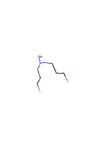 CC(C)(C)N(CCCI)CCCI